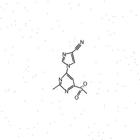 Cc1nc(-n2cnc(C#N)c2)cc(S(C)(=O)=O)n1